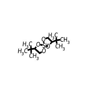 CC(C)(C)C1CO[Si]2(OCC(C(C)(C)C)O2)O1